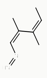 C/C=C(C)\C(C)=C/N=N